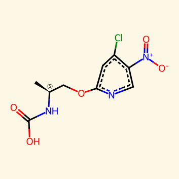 C[C@@H](COc1cc(Cl)c([N+](=O)[O-])cn1)NC(=O)O